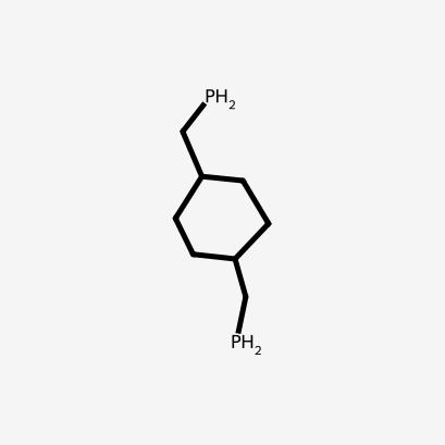 PCC1CCC(CP)CC1